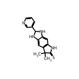 CC1(C)C(=S)Nc2cc3c(cc21)NC(c1cccnc1)N3